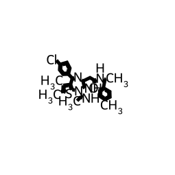 CC(=N)N1C(=N)C(CC(=O)NC(C)c2ccc(C)cc2)N=C(c2ccc(Cl)cc2)c2c1sc(C)c2C